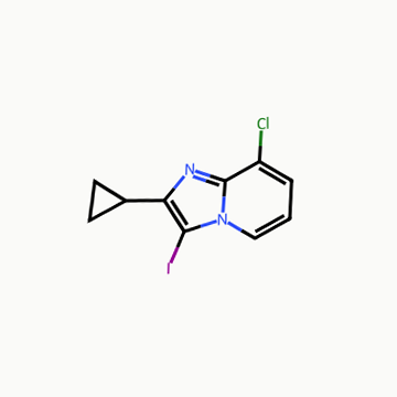 Clc1cccn2c(I)c(C3CC3)nc12